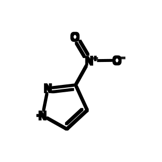 O=[N+]([O-])C1=N[N]C=C1